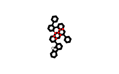 c1ccc(-c2cccc(N(c3cccc(-c4cccc5c4oc4ccccc45)c3)c3cccc(-c4ccccc4)c3-c3ccccc3-c3ccccc3)c2)cc1